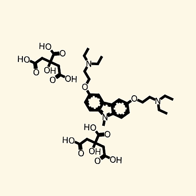 CCN(CC)CCOc1ccc2c(c1)c1cc(OCCN(CC)CC)ccc1n2C.O=C(O)CC(O)(CC(=O)O)C(=O)O.O=C(O)CC(O)(CC(=O)O)C(=O)O